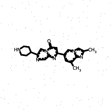 Cc1cn2cc(-c3cc(=O)n4cc(C5CCNCC5)ncc4n3)cc(C)c2n1